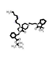 C=CC/C=C\C=C/CN1CN(Cc2ccccc2C(=O)OC(C)(C)C)C(=O)C12CCN(CCCN1C(=O)C(C)(F)c3ccccc31)CC2